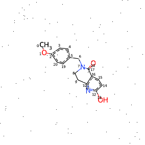 COc1ccc(CN2CCc3nc(O)ccc3C2=O)cc1